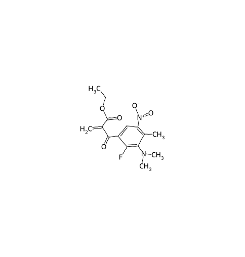 C=C(C(=O)OCC)C(=O)c1cc([N+](=O)[O-])c(C)c(N(C)C)c1F